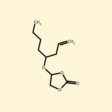 C=CCC(CCCC)OC1COC(=O)O1